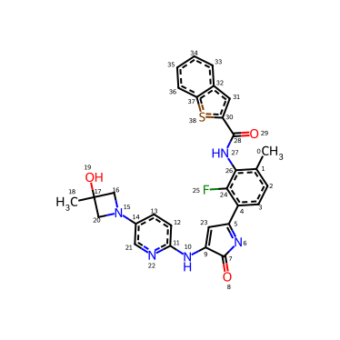 Cc1ccc(C2=NC(=O)C(Nc3ccc(N4CC(C)(O)C4)cn3)=C2)c(F)c1NC(=O)c1cc2ccccc2s1